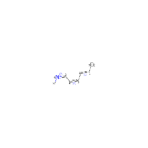 CC/C=C/C=C\C=N/C